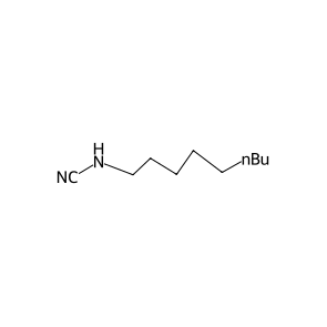 CCCCCCCCCNC#N